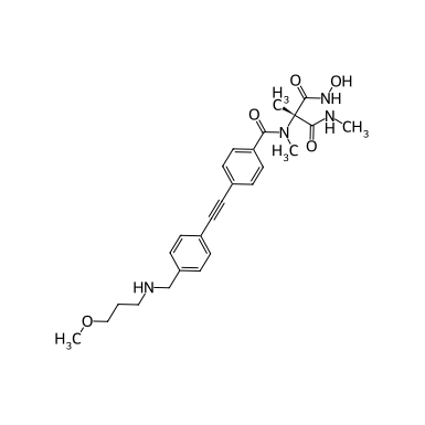 CNC(=O)[C@@](C)(C(=O)NO)N(C)C(=O)c1ccc(C#Cc2ccc(CNCCCOC)cc2)cc1